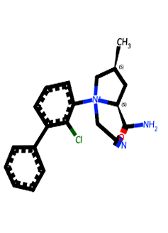 C[C@H]1C[C@@H](C(N)=O)[N+](CC#N)(c2cccc(-c3ccccc3)c2Cl)C1